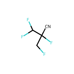 N#CC(F)(CF)C(F)F